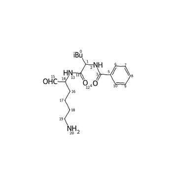 CCC(C)C(NC(=O)c1ccccc1)C(=O)NC(C=O)CCCCN